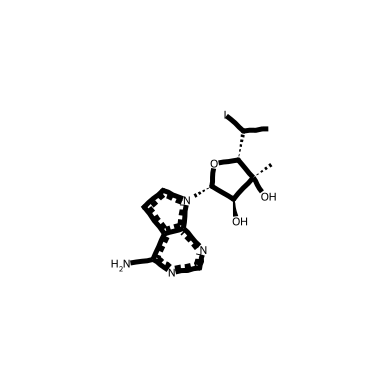 CC(I)[C@H]1O[C@@H](n2ccc3c(N)ncnc32)[C@H](O)[C@]1(C)O